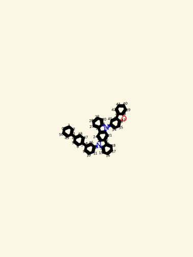 c1ccc(-c2ccc(-c3cccc(-n4c5ccccc5c5cc6c(cc54)c4ccccc4n6-c4ccc5oc6ccccc6c5c4)c3)cc2)cc1